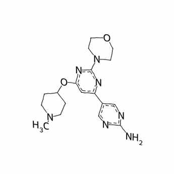 CN1CCC(Oc2cc(-c3cnc(N)nc3)nc(N3CCOCC3)n2)CC1